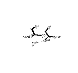 CC(=O)N[C@@H](CS)C(=O)[O-].CC(=O)N[C@@H](CS)C(=O)[O-].[Cu+2]